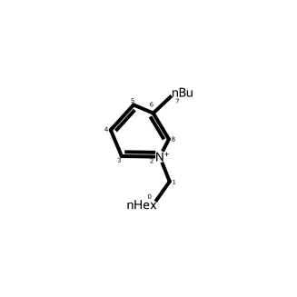 CCCCCCC[n+]1cccc(CCCC)c1